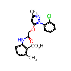 Cc1cccc(NC(=O)COc2cc(C(F)(F)F)nn2-c2ccccc2Cl)c1C(=O)O